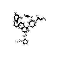 C=CC(=O)N1CCN(c2nc(OC[C@@H]3CCCN3C)nc3c2CCC2(CCc4cc(F)cc(F)c42)C3)C[C@@H]1CC#N